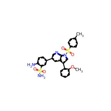 COc1ccccc1-c1cn(S(=O)(=O)c2ccc(C)cc2)c2ncc(-c3ccc(N)c(S(N)(=O)=O)c3)cc12